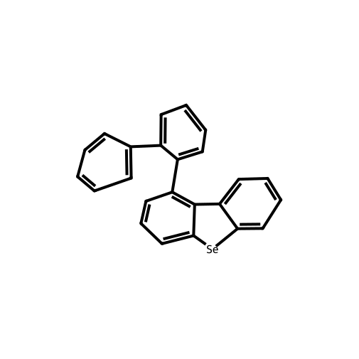 c1ccc(-c2ccccc2-c2cccc3[se]c4ccccc4c23)cc1